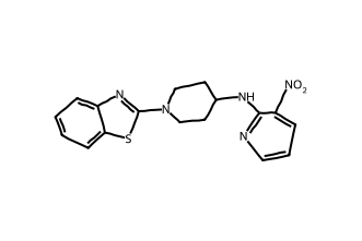 O=[N+]([O-])c1cccnc1NC1CCN(c2nc3ccccc3s2)CC1